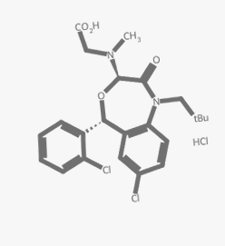 CN(CC(=O)O)[C@@H]1O[C@@H](c2ccccc2Cl)c2cc(Cl)ccc2N(CC(C)(C)C)C1=O.Cl